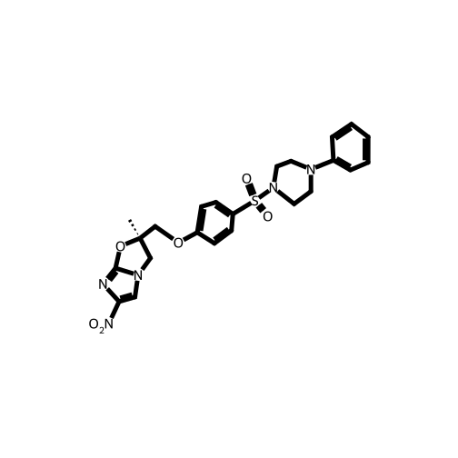 C[C@]1(COc2ccc(S(=O)(=O)N3CCN(c4ccccc4)CC3)cc2)Cn2cc([N+](=O)[O-])nc2O1